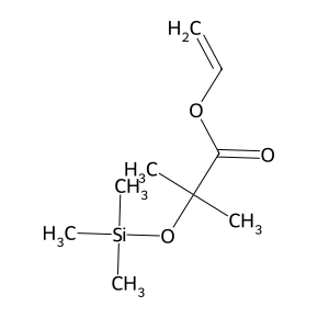 C=COC(=O)C(C)(C)O[Si](C)(C)C